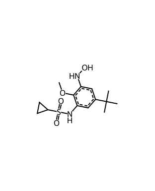 COc1c(NO)cc(C(C)(C)C)cc1NS(=O)(=O)C1CC1